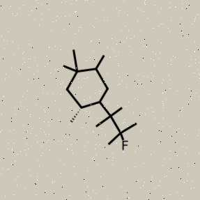 CC1CC(C(C)(C)C(C)(C)F)[C@H](C)CC1(C)C